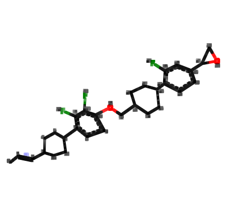 C/C=C/C1CCC(c2ccc(OCC3CCC(c4ccc(C5CO5)cc4F)CC3)c(F)c2F)CC1